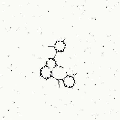 CCc1cccc2nc(-c3ccc(F)cc3F)c(Nc3c(C)cccc3I)n12